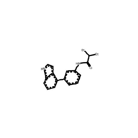 CCC(CC)C(=O)Nc1cccc(-c2cccc3[nH]ccc23)c1